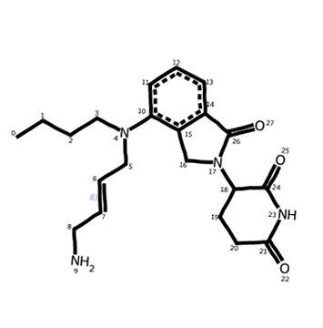 CCCCN(C/C=C/CN)c1cccc2c1CN(C1CCC(=O)NC1=O)C2=O